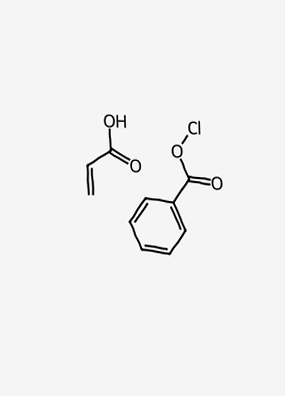 C=CC(=O)O.O=C(OCl)c1ccccc1